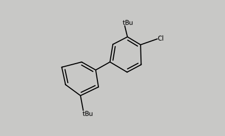 CC(C)(C)c1cccc(-c2ccc(Cl)c(C(C)(C)C)c2)c1